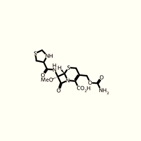 CO[C@@]1(NC(=O)C2CSCN2)C(=O)N2C(C(=O)O)=C(COC(N)=O)CS[C@H]21